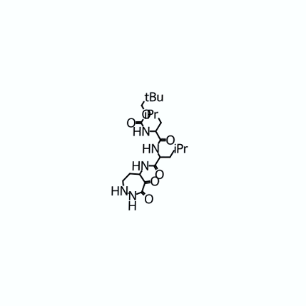 CC(C)CC(NC(=O)OCC(C)(C)C)C(=O)NC(CC(C)C)C(=O)NC1CCNNC(=O)C1=O